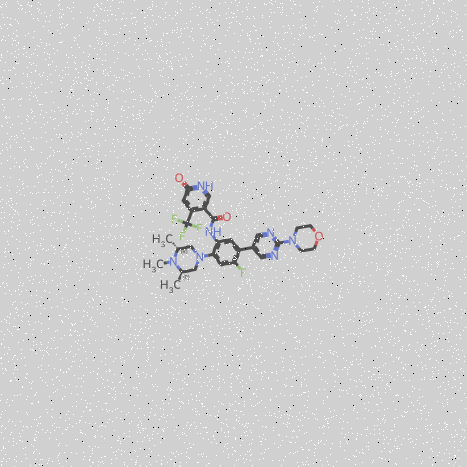 C[C@@H]1CN(c2cc(F)c(-c3cnc(N4CCOCC4)nc3)cc2NC(=O)c2c[nH]c(=O)cc2C(F)(F)F)C[C@@H](C)N1C